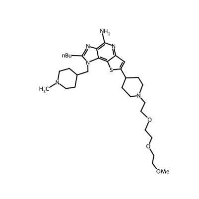 CCCCc1nc2c(N)nc3cc(C4CCN(CCOCCOCCOC)CC4)sc3c2n1CC1CCN(C)CC1